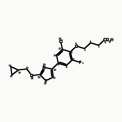 O=C(O)CCCOc1c(F)cc(-c2csc(OCC3CC3)n2)cc1Cl